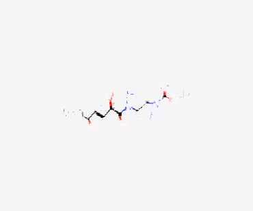 COC(=O)/C=C/C(=O)C(=O)NCCNC(=O)OC(C)(C)C